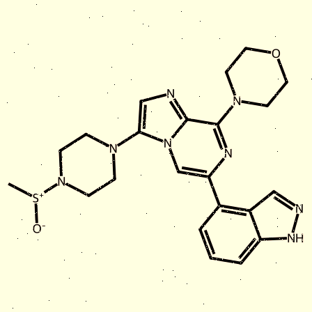 C[S+]([O-])N1CCN(c2cnc3c(N4CCOCC4)nc(-c4cccc5[nH]ncc45)cn23)CC1